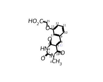 CN1C(=O)NC(=O)/C(=C\c2cccc(OCC(=O)O)c2)C1=O